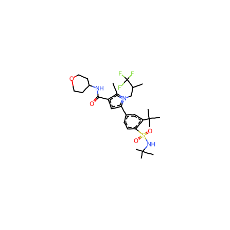 Cc1c(C(=O)NC2CCOCC2)cc(-c2ccc(S(=O)(=O)NC(C)(C)C)c(C(C)(C)C)c2)n1CC(C)C(F)(F)F